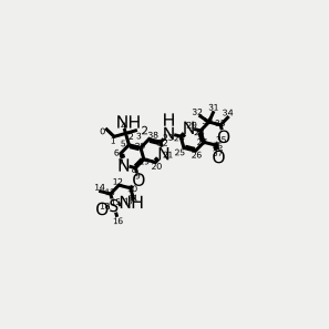 CCC(C)(N)c1cnc(OC(C)CC(C)S(C)(=N)=O)c2cnc(Nc3ccc4c(n3)C(C)(C)C(C)OC4=O)cc12